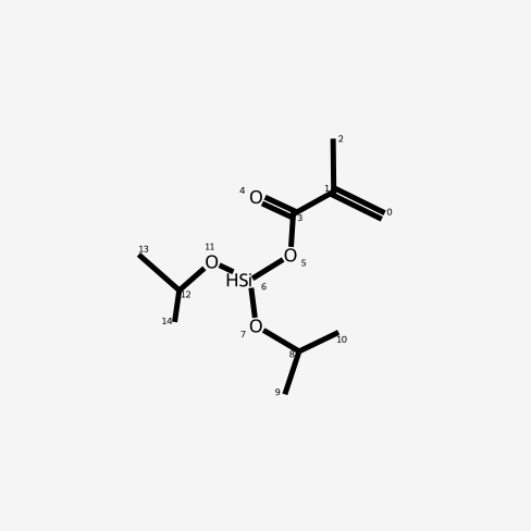 C=C(C)C(=O)O[SiH](OC(C)C)OC(C)C